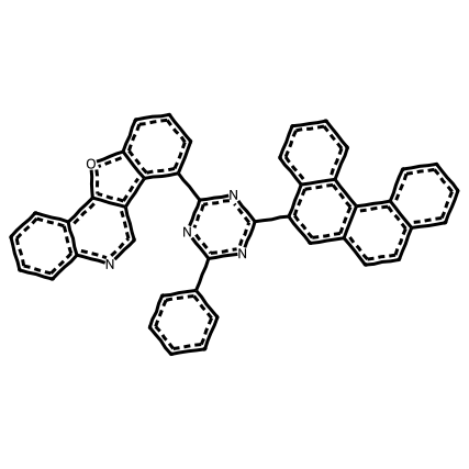 c1ccc(-c2nc(-c3cc4ccc5ccccc5c4c4ccccc34)nc(-c3cccc4oc5c6ccccc6ncc5c34)n2)cc1